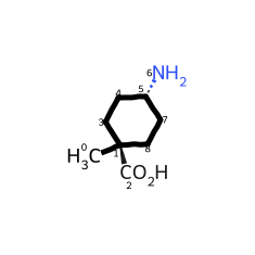 C[C@]1(C(=O)O)CC[C@H](N)CC1